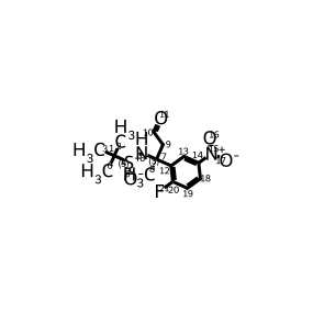 CC(C)(C)[S@@+]([O-])N[C@@](C)(CC=O)c1cc([N+](=O)[O-])ccc1F